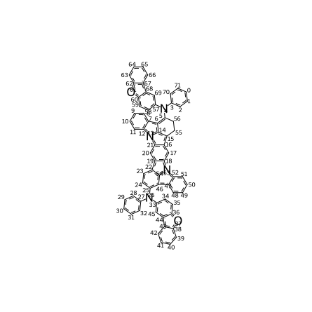 c1ccc(N(C2=c3c4ccccc4n4c3c(c3cc5c(cc34)c3ccc(N(c4ccccc4)c4ccc6oc7ccccc7c6c4)c4c6ccccc6n5c34)CC2)c2ccc3oc4ccccc4c3c2)cc1